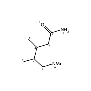 CNCC(C)C(C)CC(N)=O